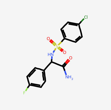 NC(=O)C(NS(=O)(=O)c1ccc(Cl)cc1)c1ccc(F)cc1